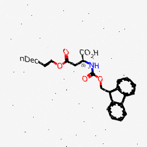 CCCCCCCCCCCCOC(=O)C[C@H](NC(=O)OCC1c2ccccc2-c2ccccc21)C(=O)O